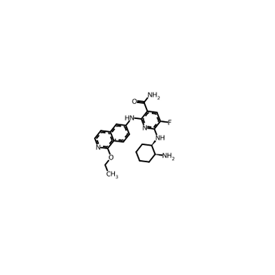 CCOc1nccc2cc(Nc3nc(N[C@@H]4CCCC[C@@H]4N)c(F)cc3C(N)=O)ccc12